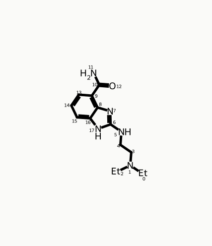 CCN(CC)CCNc1nc2c(C(N)=O)cccc2[nH]1